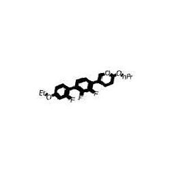 CCCOC1CCC(c2ccc(-c3ccc(OCC)cc3F)c(F)c2F)CO1